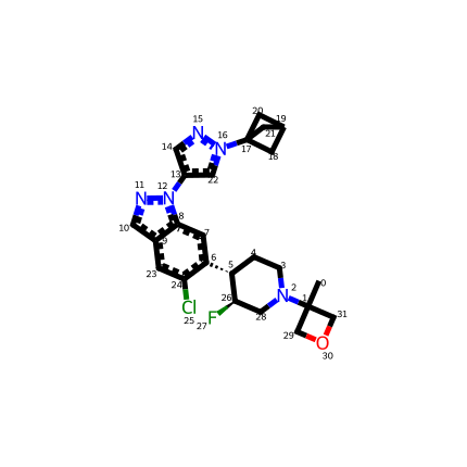 CC1(N2CC[C@@H](c3cc4c(cnn4-c4cnn(C56CC(C5)C6)c4)cc3Cl)[C@H](F)C2)COC1